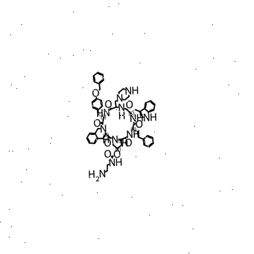 NCCNC(=O)O[C@@H]1C[C@H]2C(=O)N[C@H](CCc3ccccc3)C(=O)N[C@@H](Cc3c[nH]c4ccccc34)C(=O)NC(CN3CCNCC3)C(=O)N[C@@H](Cc3ccc(OCc4ccccc4)cc3)C(=O)N3Cc4ccccc4C[C@H]3C(=O)N2C1